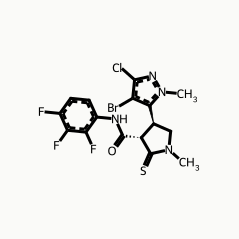 CN1C[C@H](c2c(Br)c(Cl)nn2C)[C@@H](C(=O)Nc2ccc(F)c(F)c2F)C1=S